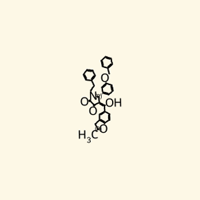 C[C@@H]1Cc2cc(C(O)=C3C(=O)C(=O)N(CCc4ccccc4)[C@@H]3c3cccc(OCc4ccccc4)c3)ccc2O1